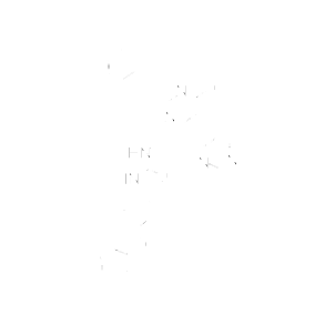 O=C(NCCn1cc(Cc2cncnc2)c(=O)nc1SCc1ccc(F)cc1)Nc1ccc(Oc2ccccc2)cc1